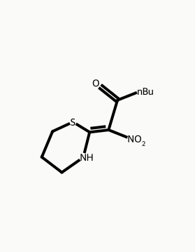 CCCCC(=O)C(=C1NCCCS1)[N+](=O)[O-]